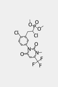 COP(=O)(OC)C(Cl)Cc1cc(-n2c(=O)cc(C(F)(F)F)n(C)c2=O)ccc1Cl